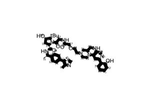 Cc1ncsc1-c1ccc([C@H](C)NC(=O)[C@@H]2C[C@@H](O)CN2C(=O)[C@@H](NC(=O)COCCN2CCN3c4cc(-c5ccccc5O)nnc4NCC3C2)C(C)(C)C)cc1